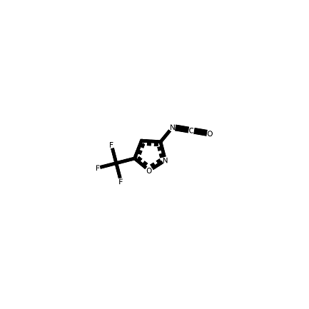 O=C=Nc1cc(C(F)(F)F)on1